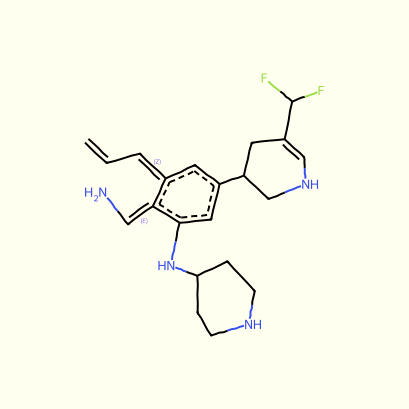 C=C/C=c1/cc(C2CNC=C(C(F)F)C2)cc(NC2CCNCC2)/c1=C/N